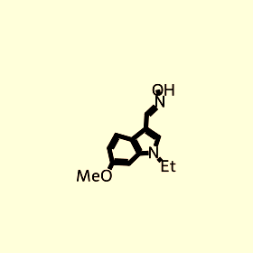 CCn1cc(C=NO)c2ccc(OC)cc21